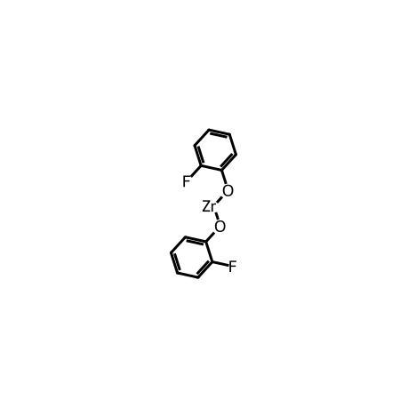 Fc1ccccc1[O][Zr][O]c1ccccc1F